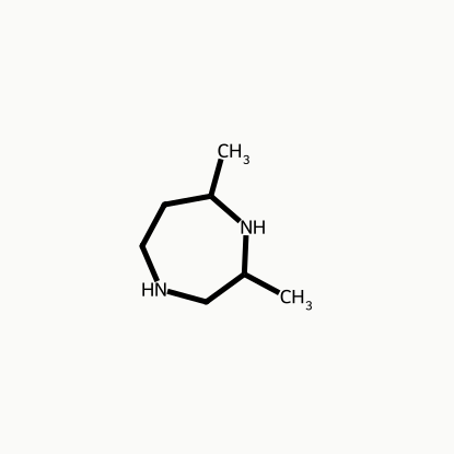 CC1CCNCC(C)N1